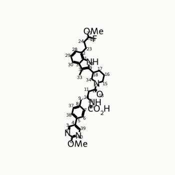 COc1ncc(-c2ccc(C[C@H](CC(=O)N3CCCC(c4[nH]c5c(CCC(F)OC)cccc5c4C)C3)NC(=O)O)cc2)cn1